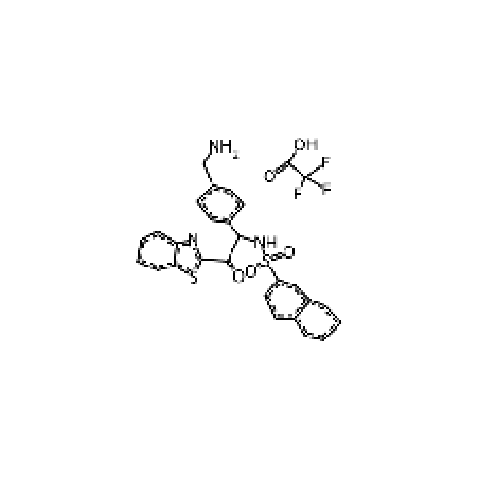 NCc1ccc(C(NS(=O)(=O)c2ccc3ccccc3c2)C(=O)c2nc3ccccc3s2)cc1.O=C(O)C(F)(F)F